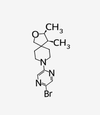 C[C@@H]1OCC2(CCN(c3cnc(Br)cn3)CC2)[C@@H]1C